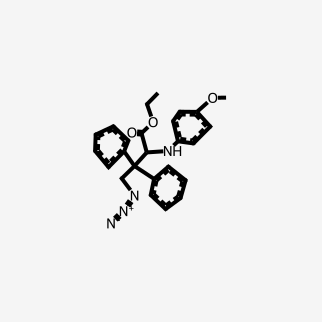 CCOC(=O)C(Nc1ccc(OC)cc1)C(CN=[N+]=[N-])(c1ccccc1)c1ccccc1